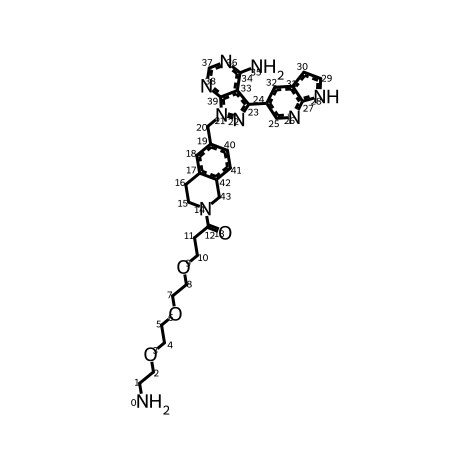 NCCOCCOCCOCCC(=O)N1CCc2cc(Cn3nc(-c4cnc5[nH]ccc5c4)c4c(N)ncnc43)ccc2C1